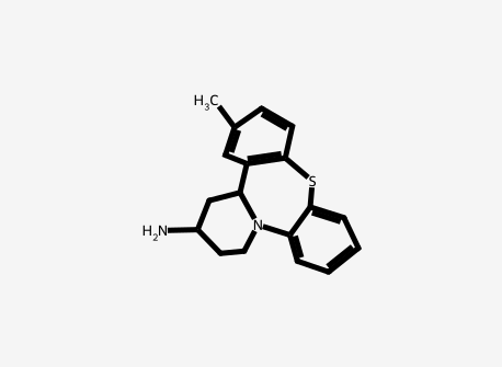 Cc1ccc2c(c1)C1CC(N)CCN1c1ccccc1S2